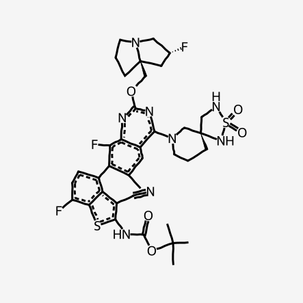 Cc1cc2c(N3CCC[C@]4(CNS(=O)(=O)N4)C3)nc(OC[C@@]34CCCN3C[C@H](F)C4)nc2c(F)c1-c1ccc(F)c2sc(NC(=O)OC(C)(C)C)c(C#N)c12